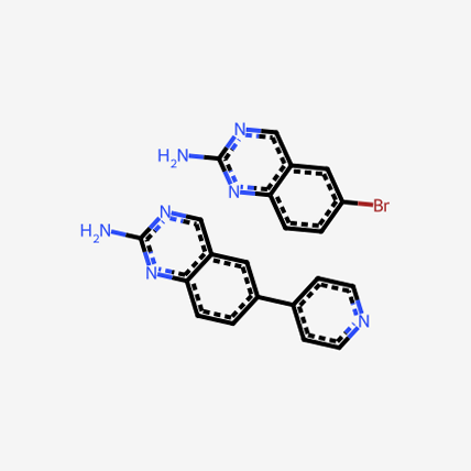 Nc1ncc2cc(-c3ccncc3)ccc2n1.Nc1ncc2cc(Br)ccc2n1